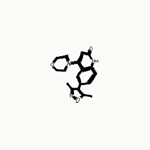 Cc1noc(C)c1-c1ccc2[nH]c(=O)cc(N3CCOCC3)c2c1